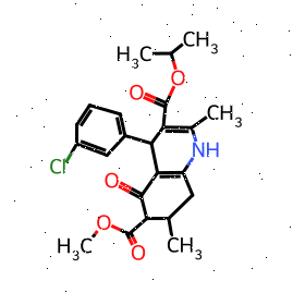 COC(=O)C1C(=O)C2=C(CC1C)NC(C)=C(C(=O)OC(C)C)C2c1cccc(Cl)c1